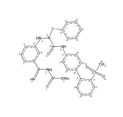 COC(=O)NC(=N)c1cccc(NN(Cc2ccccc2)C(=O)Nc2ccc(-c3ccccc3S(C)(=O)=O)cc2)c1